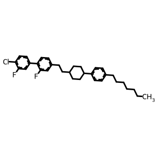 CCCCCCCc1ccc(C2CCC(CCc3ccc(-c4ccc(Cl)c(F)c4)c(F)c3)CC2)cc1